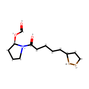 O=CO[C@@H]1CCCN1C(=O)CCCCC1CCSS1